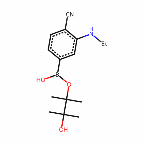 CCNc1cc(B(O)OC(C)(C)C(C)(C)O)ccc1C#N